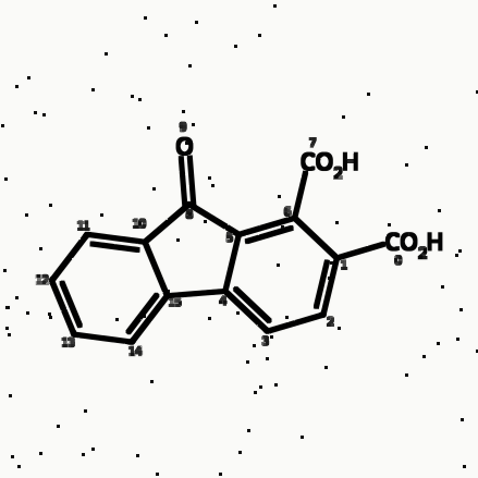 O=C(O)c1ccc2c(c1C(=O)O)C(=O)c1ccccc1-2